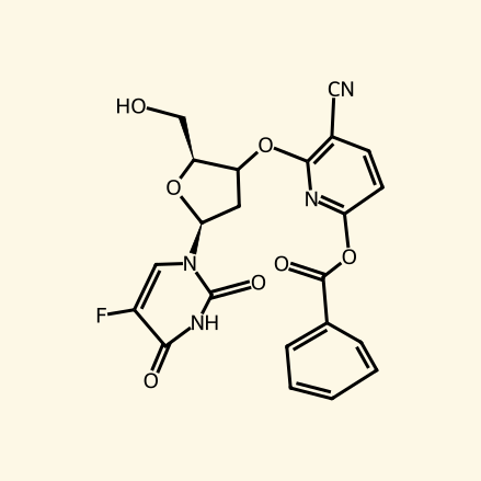 N#Cc1ccc(OC(=O)c2ccccc2)nc1OC1C[C@@H](n2cc(F)c(=O)[nH]c2=O)O[C@H]1CO